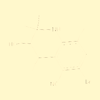 Cc1cc(Br)c(C#N)c2c1NC(C)(C)C(O)C2C